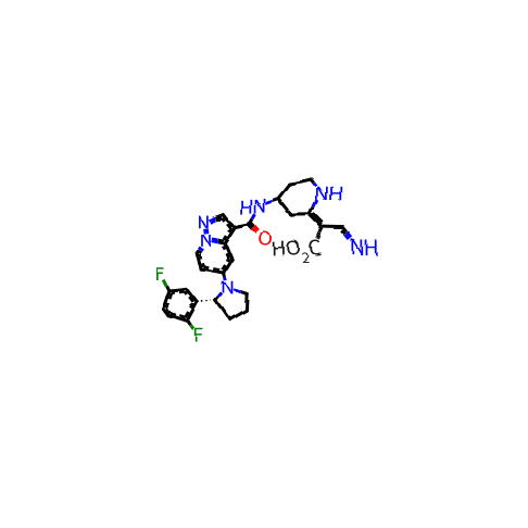 N=C/C(C(=O)O)=C1/CC(NC(=O)c2cnn3ccc(N4CCC[C@@H]4c4cc(F)ccc4F)cc23)CCN1